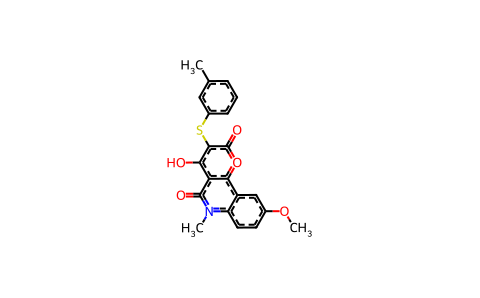 COc1ccc2c(c1)c1oc(=O)c(Sc3cccc(C)c3)c(O)c1c(=O)n2C